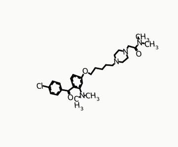 CN(C)C(=O)CN1CCN(CCCCCOc2ccc(C(=O)c3ccc(Cl)cc3)c(N(C)C)c2)CC1